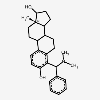 CN(C)C(c1ccccc1)c1c(O)ccc2c1CCC1C2CC[C@]2(C)C(O)CCC12